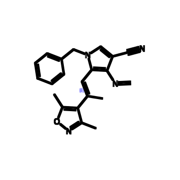 C=Nc1c(C#N)cn(Cc2ccccc2)c1/C=C(\C)c1c(C)noc1C